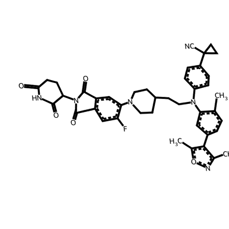 Cc1ccc(-c2c(C)noc2C)cc1N(CCC1CCN(c2cc3c(cc2F)C(=O)N(C2CCC(=O)NC2=O)C3=O)CC1)c1ccc(C2(C#N)CC2)cc1